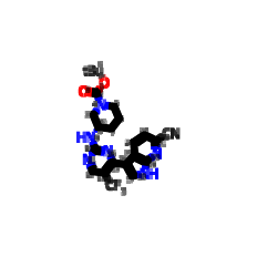 CC(C)(C)OC(=O)N1CCC[C@H](Nc2ncc(C(F)(F)F)c(-c3c[nH]c4nc(C#N)ccc34)n2)C1